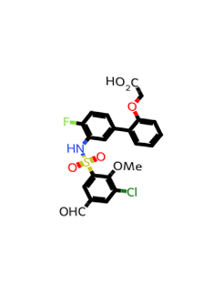 COc1c(Cl)cc(C=O)cc1S(=O)(=O)Nc1cc(-c2ccccc2OCC(=O)O)ccc1F